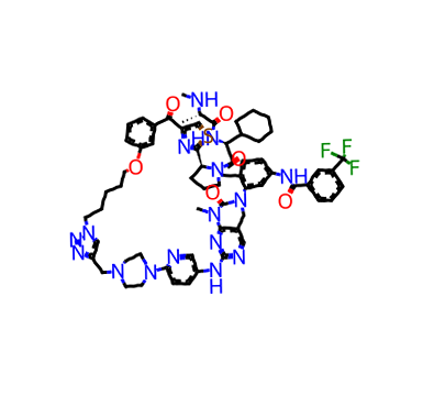 CN[C@@H](C)C(=O)N[C@H](C(=O)N1CCC[C@H]1c1nc(C(=O)c2cccc(OCCCCCn3cc(CN4CCN(c5ccc(Nc6ncc7c(n6)N(C)C(=O)N(c6cc(NC(=O)c8cccc(C(F)(F)F)c8)ccc6C)C7)cn5)CC4)nn3)c2)cs1)C1CCCCC1